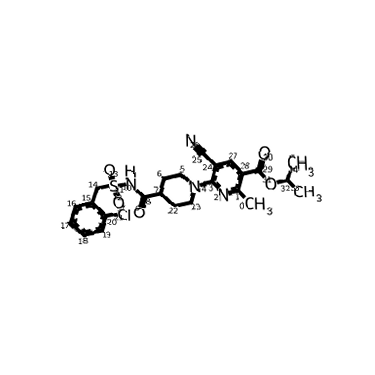 Cc1nc(N2CCC(C(=O)NS(=O)(=O)Cc3ccccc3Cl)CC2)c(C#N)cc1C(=O)OC(C)C